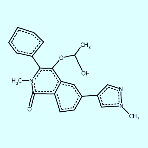 CC(O)Oc1c(-c2ccccc2)n(C)c(=O)c2ccc(-c3cnn(C)c3)cc12